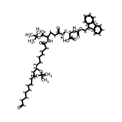 CC(C)(C)OC(=O)C(CCC(=O)NC[C@H](NC(=O)OCC1c2ccccc2-c2ccccc21)C(=O)O)NC(=O)CCCCCC[C@H](CCCCCCCCCC=O)OC(C)(C)C